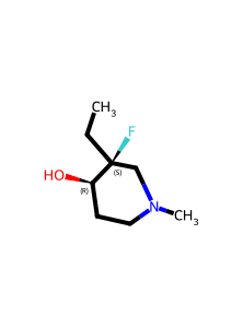 CC[C@]1(F)CN(C)CC[C@H]1O